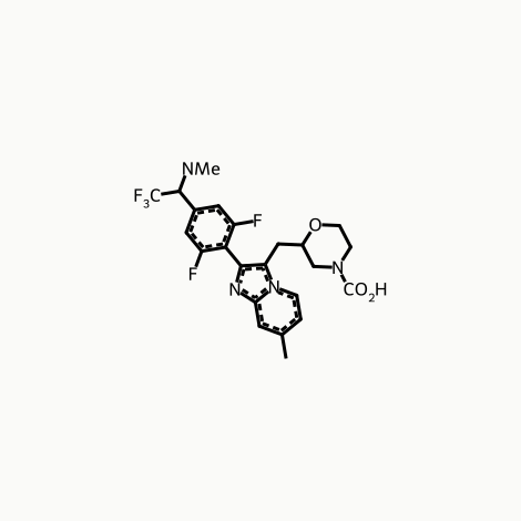 CNC(c1cc(F)c(-c2nc3cc(C)ccn3c2CC2CN(C(=O)O)CCO2)c(F)c1)C(F)(F)F